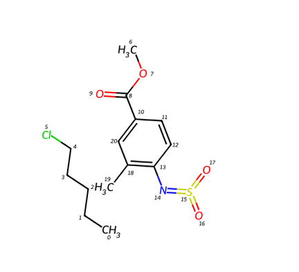 CCCCCCl.COC(=O)c1ccc(N=S(=O)=O)c(C)c1